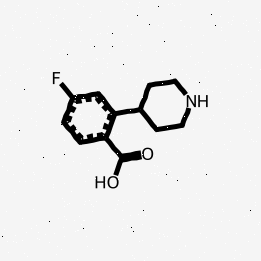 O=C(O)c1ccc(F)cc1C1CCNCC1